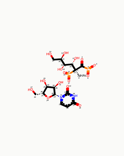 CC(=O)N[C@@](C(=O)P(=O)=O)([C@@H](O)[C@H](O)[C@H](O)CO)P(=O)=O.O=c1ccn([C@@H]2O[C@H](CO)[C@@H](O)[C@H]2O)c(=O)[nH]1